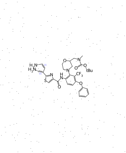 CN(CC1CN(c2c(NC(=O)c3csc(C(/C=C\N)=C/N)n3)ccc(Oc3ccccc3)c2C(F)(F)F)CCO1)C(=O)OC(C)(C)C